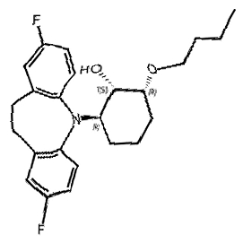 CCCCO[C@@H]1CCC[C@@H](N2c3ccc(F)cc3CCc3cc(F)ccc32)[C@@H]1O